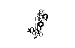 CCOC(=O)[C@H](Cc1ccc(Nc2ncccc2[N+](=O)[O-])cc1)NC(=O)OC(C)(C)C